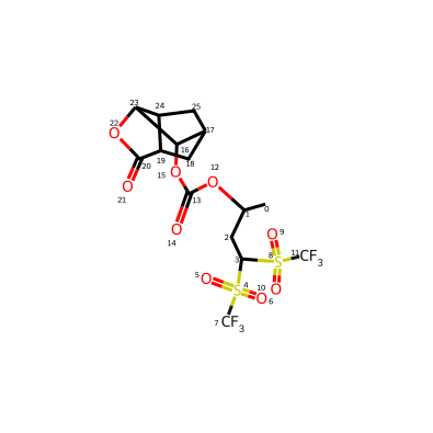 CC(CC(S(=O)(=O)C(F)(F)F)S(=O)(=O)C(F)(F)F)OC(=O)OC1C2CC3C(=O)OC1C3C2